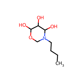 CCCCN1COC(O)C(O)C1O